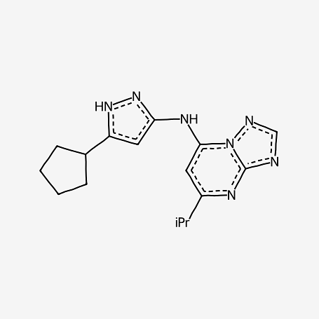 CC(C)c1cc(Nc2cc(C3CCCC3)[nH]n2)n2ncnc2n1